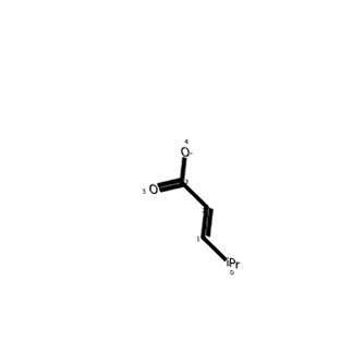 CC(C)C=CC([O])=O